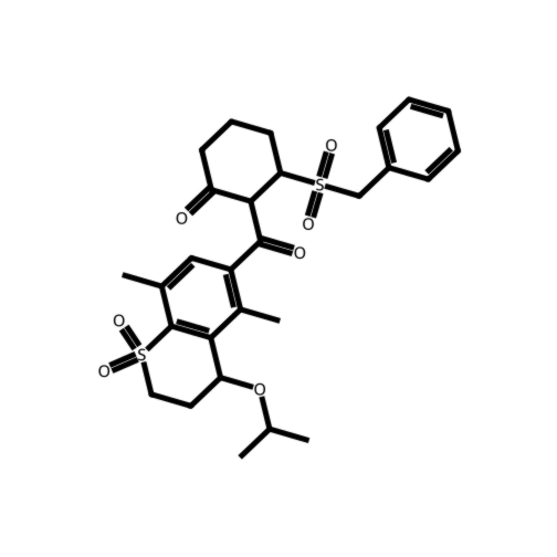 Cc1cc(C(=O)C2C(=O)CCCC2S(=O)(=O)Cc2ccccc2)c(C)c2c1S(=O)(=O)CCC2OC(C)C